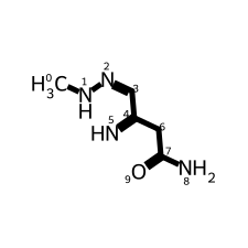 CN/N=C\C(=N)CC(N)=O